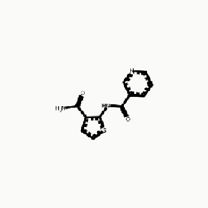 NC(=O)c1ccsc1NC(=O)c1cccnc1